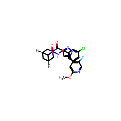 COc1cc(-c2cc(C(=O)N3C[C@H]4C[C@@H](C3)C4C(=O)NCc3cccc(Cl)c3)n[nH]2)c(F)cn1